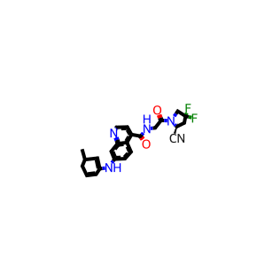 CC1C=C(Nc2ccc3c(C(=O)NCC(=O)N4CC(F)(F)C[C@H]4C#N)ccnc3c2)C=CC1